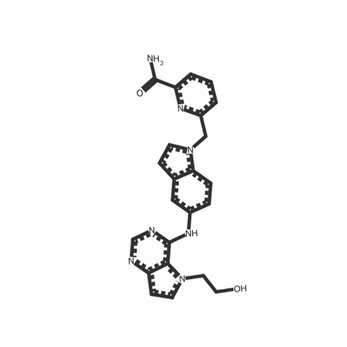 NC(=O)c1cccc(Cn2ccc3cc(Nc4ncnc5ccn(CCO)c45)ccc32)n1